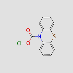 O=C(OCl)N1c2ccccc2Sc2ccccc21